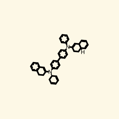 C1=CC[C@@H](N(C2=Cc3ccccc3CC2)c2ccc(-c3ccc(N(C4=CC5C=CC=C[C@@H]5CC4)c4ccccc4)cc3)cc2)C=C1